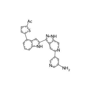 CC(=O)c1ccc(-c2cccc3[nH]c(-c4n[nH]c5cnc(-c6cncc(N)c6)cc45)cc23)s1